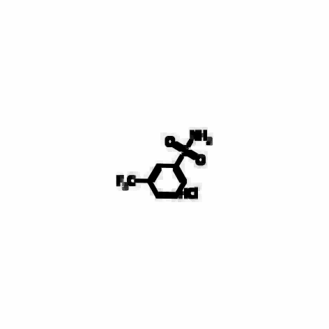 Cl.NS(=O)(=O)c1cccc(C(F)(F)F)c1